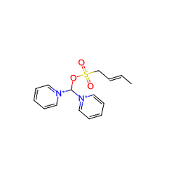 CC=CCS(=O)(=O)OC([n+]1ccccc1)[n+]1ccccc1